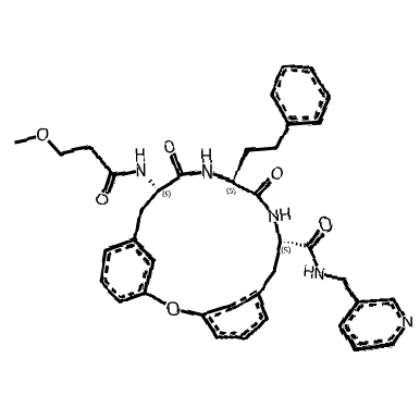 COCCC(=O)N[C@H]1Cc2cccc(c2)Oc2cccc(c2)C[C@@H](C(=O)NCc2cccnc2)NC(=O)[C@H](CCc2ccccc2)NC1=O